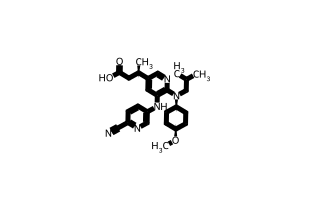 CO[C@H]1CC[C@@H](N(CC(C)C)c2ncc([C@H](C)CC(=O)O)cc2Nc2ccc(C#N)nc2)CC1